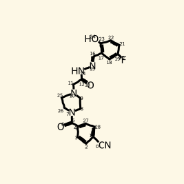 N#Cc1ccc(C(=O)N2CCN(CC(=O)NN=Cc3cc(F)ccc3O)CC2)cc1